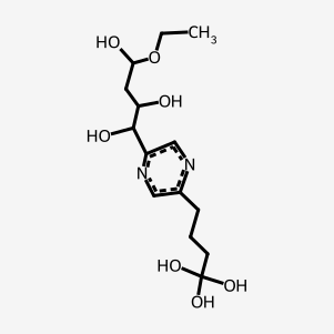 CCOC(O)CC(O)C(O)c1cnc(CCCC(O)(O)O)cn1